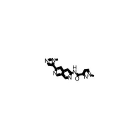 Cn1ccc(C(=O)Nc2cc3cc(-c4cncn4C)ncc3cn2)n1